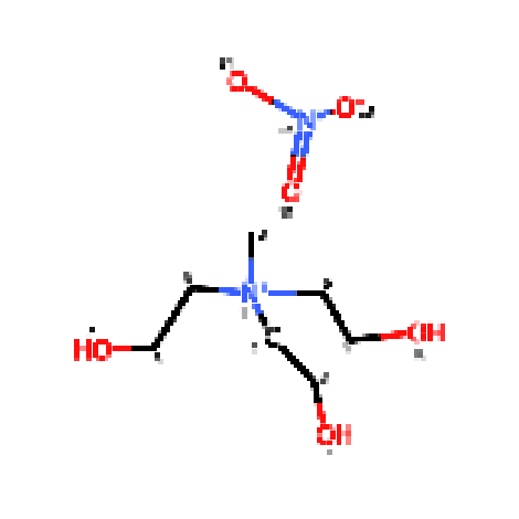 C[N+](CCO)(CCO)CCO.O=[N+]([O-])[O-]